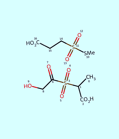 CC(C(=O)O)S(=O)(=O)C(=O)CO.CSS(=O)(=O)CCC(=O)O